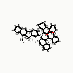 CC1(C)c2cc(N(c3ccc4ccccc4c3-c3cccc4ccccc34)c3cc4ccccc4c4ccccc34)ccc2-c2cc3ccccc3cc21